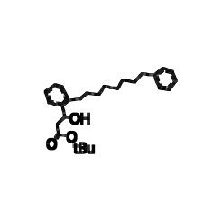 CC(C)(C)OC(=O)CC(O)c1ccccc1CCCCCCCCc1ccccc1